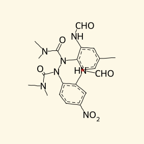 Cc1ccc(N(C(=O)N(C)C)N(C(=O)N(C)C)c2ccc([N+](=O)[O-])cc2NC=O)c(NC=O)c1